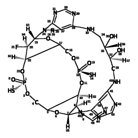 O=[P@]1(S)OCC2O[C@@H]3[C@H](F)[C@@H]2O[P@](=O)(S)OCC2O[C@H]([C@H](F)[C@@H]2O1)n1cnc2c(ncnc21)NC[C@H](O)[C@@H](O)CNc1ncnc2c1ncn23